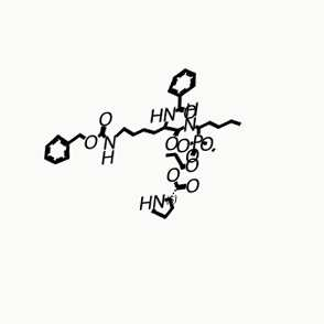 CCCCC(NC(=O)C(CCCCNC(=O)OCc1ccccc1)NC(=O)c1ccccc1)P(=O)(OC)OC(C)C(=O)OC(=O)[C@@H]1CCCN1